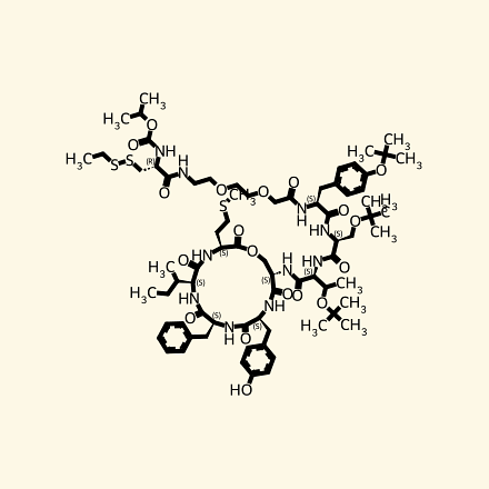 CCSSC[C@H](NC(=O)OC(C)C)C(=O)NCCOCCOCC(=O)N[C@@H](Cc1ccc(OC(C)(C)C)cc1)C(=O)N[C@@H](COC(C)(C)C)C(=O)N[C@H](C(=O)N[C@H]1COC(=O)[C@H](CCSC)NC(=O)[C@H](C(C)CC)NC(=O)[C@H](Cc2ccccc2)NC(=O)[C@H](Cc2ccc(O)cc2)NC1=O)C(C)OC(C)(C)C